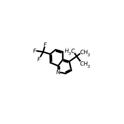 CC(C)(C)c1ccnc2cc(C(F)(F)F)ccc12